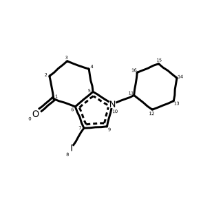 O=C1CCCc2c1c(I)cn2C1CCCCC1